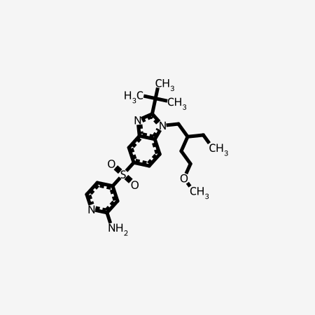 CCC(CCOC)Cn1c(C(C)(C)C)nc2cc(S(=O)(=O)c3ccnc(N)c3)ccc21